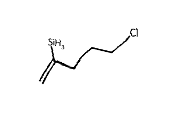 C=C([SiH3])CCCCl